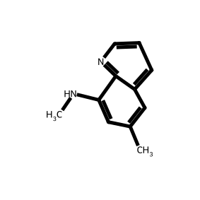 CNc1cc(C)cc2cccnc12